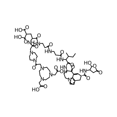 CCC(C)C(NC(=O)CCNC(=O)CCNC(=O)C(CC(C(=O)O)C(=O)O)NC(=O)CN1CCN(C(=O)CN2CCN(CC(=O)O)CCN(CC(=O)O)CC2)CC1)C(=O)N[C@H]1CCn2ccc3c2C(=C[C@@H](C(=O)NC2CC(=O)OC2O)C3)C1=O